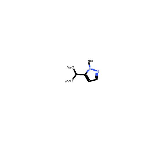 COC(OC)c1ccnn1C(C)(C)C